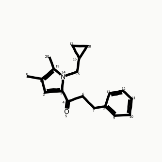 Cc1cc(C(=O)CCc2ccccc2)n(CC2CC2)c1C